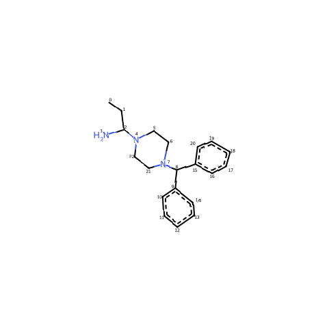 CCC(N)N1CCN(C(c2ccccc2)c2ccccc2)CC1